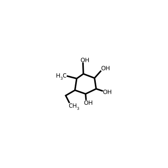 CCC1C(C)C(O)C(O)C(O)C1O